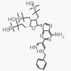 CC(C)(CC[C@H]1OC(n2cnc3c(N)nc(/C(C=N)=C/NCc4ccccc4)nc32)[C@H](CC(C)(C)[Si](C)(C)O)[C@@H]1CC(C)(C)[Si](C)(C)O)[Si](C)(C)O